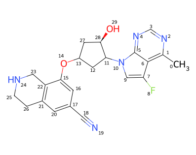 Cc1ncnc2c1c(F)cn2C1CC(Oc2cc(C#N)cc3c2CNCC3)C[C@H]1O